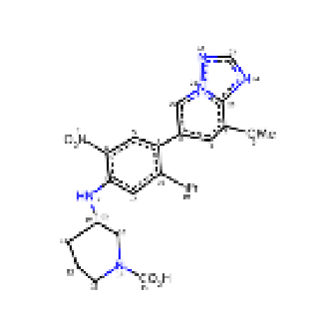 COc1cc(-c2cc([N+](=O)[O-])c(N[C@H]3CCCN(C(=O)O)C3)cc2C(C)C)cn2ncnc12